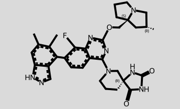 Cc1cc2[nH]ncc2c(-c2ccc3c(N4CCC[C@]5(C4)NC(=O)NC5=O)nc(OC[C@@]45CCCN4C[C@H](C)C5)nc3c2F)c1C